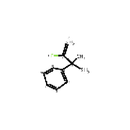 C=C(F)C(C)([SiH3])c1ccccc1